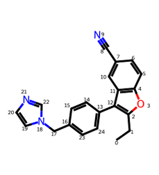 CCc1oc2ccc(C#N)cc2c1-c1ccc(Cn2ccnc2)cc1